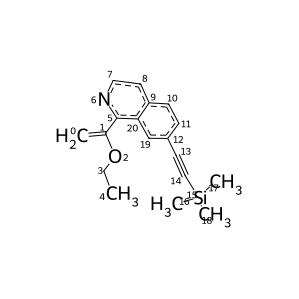 C=C(OCC)c1nccc2ccc(C#C[Si](C)(C)C)cc12